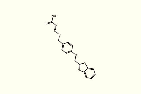 O=C(O)C=NOCc1ccc(OCc2nc3ccccc3s2)cc1